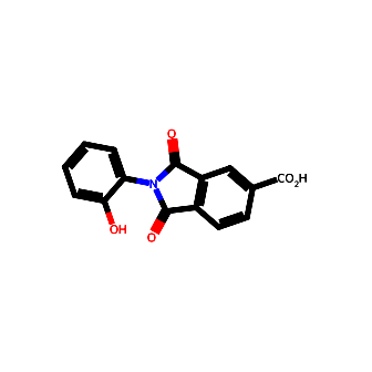 O=C(O)c1ccc2c(c1)C(=O)N(c1ccccc1O)C2=O